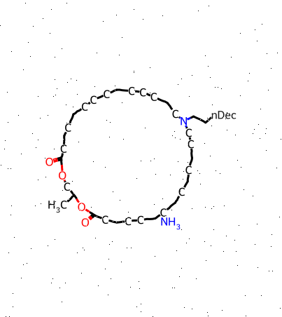 CCCCCCCCCCCCN1CCCCCCCCCCCCCC(=O)OCC(C)OC(=O)CCCCCCCCCCCCC1.N